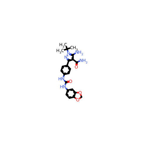 CC(C)(C)n1nc(-c2ccc(NC(=O)Nc3ccc4c(c3)OCO4)cc2)c(C(N)=O)c1N